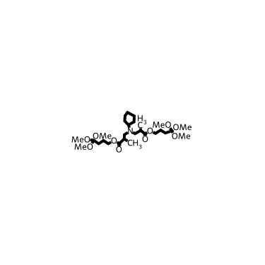 COC(CCCOC(=O)C(C)CN(CC(C)C(=O)OCCCC(OC)(OC)OC)C1CCCCC1)(OC)OC